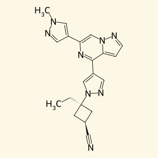 CC[C@]1(n2cc(-c3nc(-c4cnn(C)c4)cn4nccc34)cn2)C[C@@H](C#N)C1